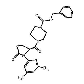 Cc1cc(C(F)(F)F)cc(N2C(=O)CC[C@H]2C(=O)N2CCN(C(=O)OCc3ccccc3)CC2)n1